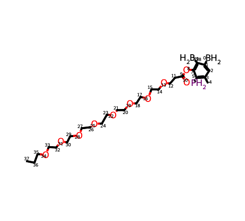 Bc1cc(C)c(P)c(OC(=O)CCOCCOCCOCCOCCOCCOCCOCCOCCC)c1B